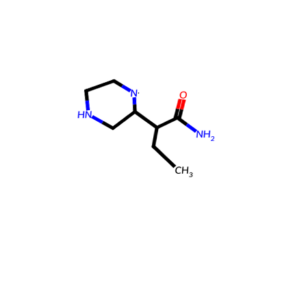 CCC(C(N)=O)C1CNCC[N]1